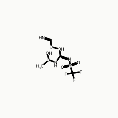 CB(O)N/C(BOC=N)=N\S(=O)(=O)C(F)(F)F